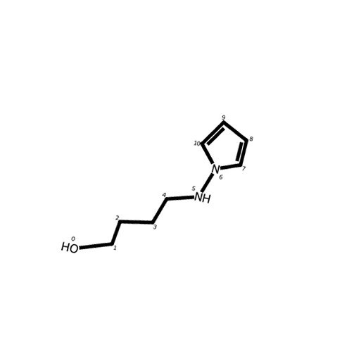 OCCCCNn1cccc1